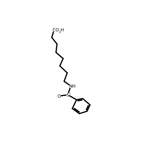 O=C(O)CCCCCCCN[S+]([O-])c1ccccc1